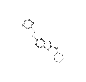 c1cnc(COc2ccc3nc(NC4CCCCC4)sc3c2)cn1